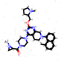 CC(=O)N1CC1C(=O)N1CCN(c2nc(OCC3CCCN3C)nc3c2CCN(c2cccc4cccc(C)c24)C3)CC1